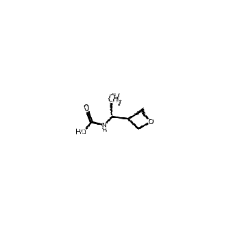 C[C@H](NC(=O)O)C1COC1